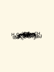 CC(/C=C/CC(C)(C)[Si](C)(C)O[Si](C)(C)C(C)(C)C/C=C/C(C)OC(C)(C)C)OC(C)(C)C